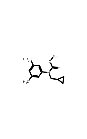 Cc1cc(C(=O)O)cc(N(CC2CC2)C(=O)OC(C)(C)C)c1